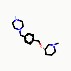 CN1CCC[C@H](OCc2ccc(CN3CCNCC3)cc2)C1